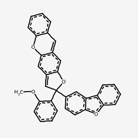 COc1ccccc1C1(c2ccc3oc4ccccc4c3c2)C=c2cc3c(cc2O1)=Cc1ccccc1O3